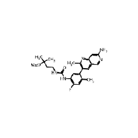 COC(C)(C)CCNC(=O)Nc1cc(-c2cc3cnc(N)cc3nc2C)c(C)cc1F